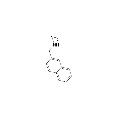 NNCc1ccc2ccccc2c1